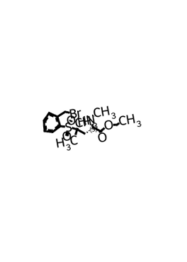 CCOC(=O)[C@H](CC(C)(C)S(=O)(=O)c1ccccc1CBr)NC